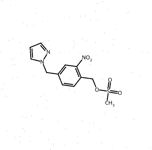 CS(=O)(=O)OCc1ccc(Cn2cccn2)cc1[N+](=O)[O-]